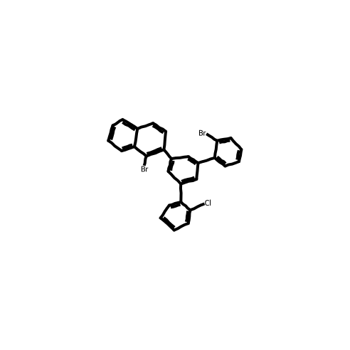 Clc1ccccc1-c1cc(-c2ccccc2Br)cc(-c2ccc3ccccc3c2Br)c1